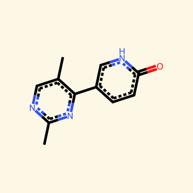 Cc1ncc(C)c(-c2ccc(=O)[nH]c2)n1